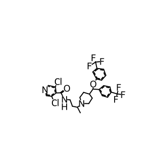 CC(CCNC(=O)c1c(Cl)cncc1Cl)N1CCC(C(Oc2cccc(C(F)(F)F)c2)c2ccc(C(F)(F)F)cc2)CC1